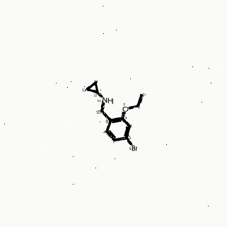 CCOc1cc(Br)ccc1CNC1CC1